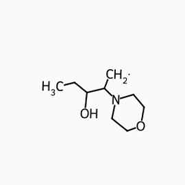 [CH2]C(C(O)CC)N1CCOCC1